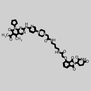 CC(=O)c1c(C)c2cnc(Nc3ccc(N4CCN(CC(=O)NCCCCNC(=O)COc5cccc6c5C(=O)N(C5CCC(=O)NC5=O)C6=O)CC4)cn3)nc2n(C2CCCC2)c1=O